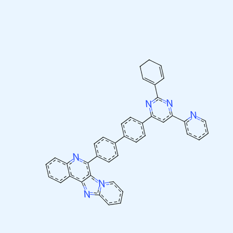 C1=CC(c2nc(-c3ccc(-c4ccc(-c5nc6ccccc6c6nc7ccccn7c56)cc4)cc3)cc(-c3ccccn3)n2)=CCC1